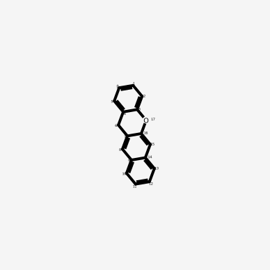 [c]1ccc2c(c1)Cc1cc3ccccc3cc1O2